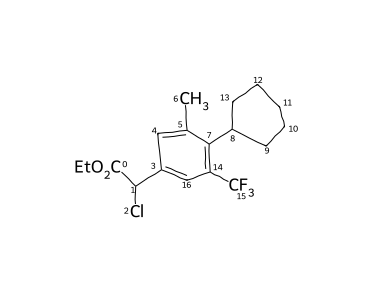 CCOC(=O)C(Cl)c1cc(C)c(C2CCCCC2)c(C(F)(F)F)c1